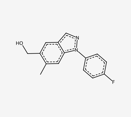 Cc1cc2c(cnn2-c2ccc(F)cc2)cc1CO